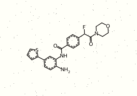 Nc1ccc(-c2cccs2)cc1NC(=O)c1ccc(C(F)C(=O)N2CCOCC2)cc1